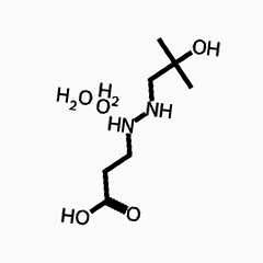 CC(C)(O)CNNCCC(=O)O.O.O